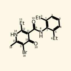 CCc1cccc(CC)c1NC(=O)c1c(CC)[nH]c(C)c(Br)c1=O